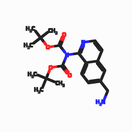 CC(C)(C)OC(=O)N(C(=O)OC(C)(C)C)c1nccc2cc(CN)ccc12